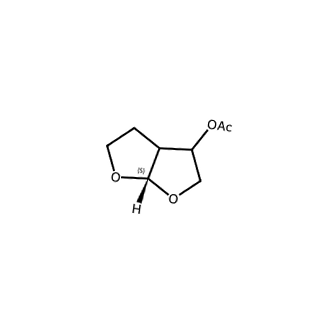 CC(=O)OC1CO[C@@H]2OCCC12